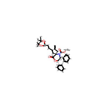 C=CC[C@]1(CCCCB2OC(C)(C)C(C)(C)O2)C(=O)O[C@@H](c2ccccc2)[C@@H](c2ccccc2)N1C(=O)OCCCC